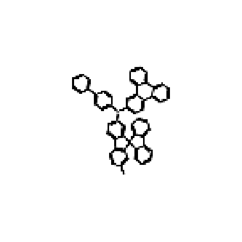 Cc1ccc2c(c1)C1(c3ccccc3-c3ccccc31)c1cc(N(c3ccc(-c4ccccc4)cc3)c3ccc4c5ccccc5c5ccccc5c4c3)ccc1-2